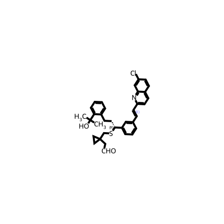 CC(C)(O)c1ccccc1CC[C@@H](SCC1(CC=O)CC1)c1cccc(/C=C/c2ccc3ccc(Cl)cc3n2)c1